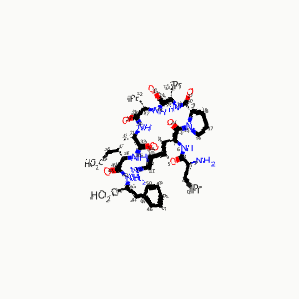 CC(C)C[C@H](N)C(=O)N[C@@H](CCCCN)C(=O)N1CCC[C@H]1C(=O)N[C@H](C(=O)N[C@H](C(=O)N[C@@H](C)C(=O)N[C@@H](CCC(=O)O)C(=O)N[C@@H](Cc1ccccc1)C(=O)O)C(C)C)C(C)C